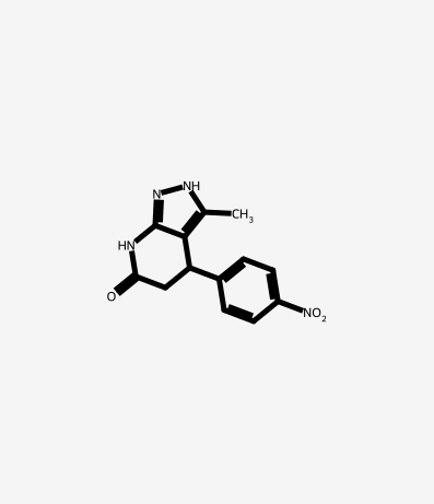 Cc1[nH]nc2c1C(c1ccc([N+](=O)[O-])cc1)CC(=O)N2